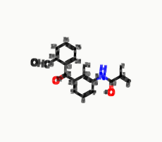 C=C(C)C(=O)Nc1cccc(C(=O)c2ccccc2C=O)c1C